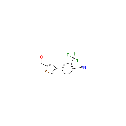 N#Cc1ccc(-c2csc(C=O)c2)cc1C(F)(F)F